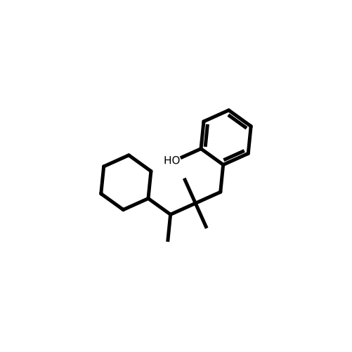 CC(C1CCCCC1)C(C)(C)Cc1ccccc1O